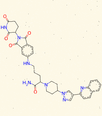 NC(=O)C(CCCNc1ccc2c(c1)C(=O)N(C1CCC(=O)NC1=O)C2=O)N1CCC(n2cc(-c3ccc4ccccc4n3)cn2)CC1